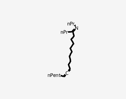 CCCCCC=C=CCCCCCCCC/C(CCC)=N/CCC